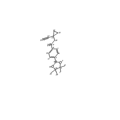 CC1(C)OB(c2ccc(NCC3(C#N)CC3)cc2)OC1(C)C